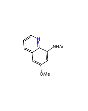 COc1cc(NC(C)=O)c2ncccc2c1